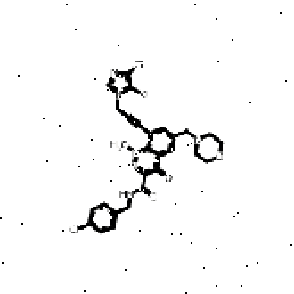 Cn1nc(C(=O)NCc2ccc(Cl)cc2)c(=O)c2cc(CN3CCOCC3)cc(C#CCn3cnc(Cl)c3Cl)c21